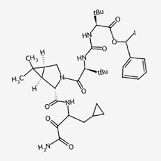 CC(C)(C)[C@H](NC(=O)N[C@H](C(=O)N1C[C@H]2[C@@H]([C@H]1C(=O)NC(CC1CC1)C(=O)C(N)=O)C2(C)C)C(C)(C)C)C(=O)OC(I)c1ccccc1